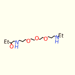 CCNCCCOCCOCCOCCCNCC(=O)CC